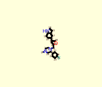 CN1CCN(Cc2cc(-c3ccc4[nH]ccc4c3)co2)[C@@H](c2ccc(F)cc2)C1